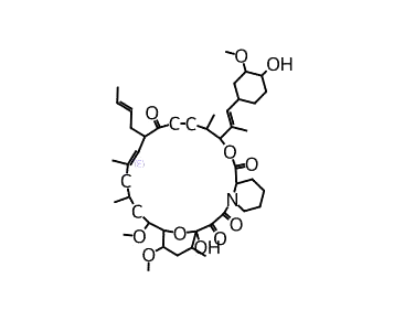 CC=CCC1/C=C(\C)CC(C)CC(OC)C2OC(O)(C(=O)C(=O)N3CCCCC3C(=O)OC(C(C)=CC3CCC(O)C(OC)C3)C(C)CCC1=O)C(C)CC2OC